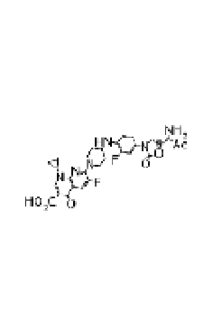 CC(=O)C(N)[C@@H]1CN(c2ccc(NC3CCN(c4nc5c(cc4F)c(=O)c(C(=O)O)cn5C4CC4)CC3)c(F)c2)C(=O)O1